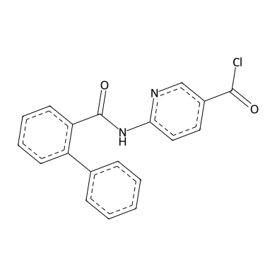 O=C(Cl)c1ccc(NC(=O)c2ccccc2-c2ccccc2)nc1